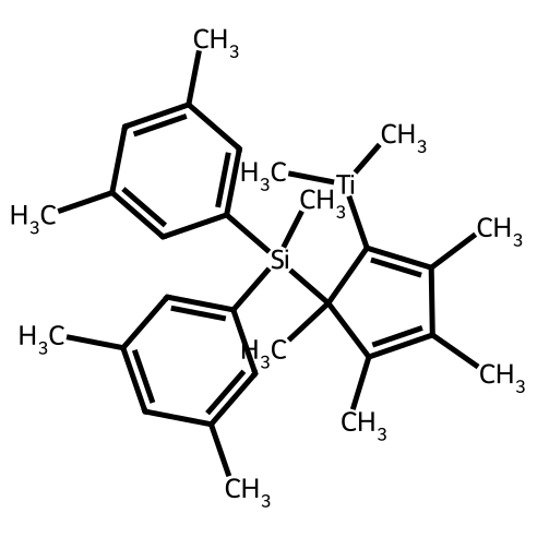 CC1=C(C)C(C)([Si](C)(c2cc(C)cc(C)c2)c2cc(C)cc(C)c2)[C]([Ti]([CH3])[CH3])=C1C